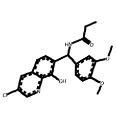 CCC(=O)NC(c1ccc(OC)c(OC)c1)c1ccc2cc(Cl)cnc2c1O